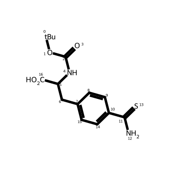 CC(C)(C)OC(=O)NC(Cc1ccc(C(N)=S)cc1)C(=O)O